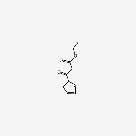 CCOC(=O)CC(=O)C1CC=CS1